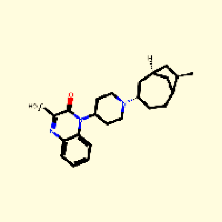 C[C@@H]1C[C@H]2CC1CC[C@H](N1CCC(n3c(=O)c(C(=O)O)nc4ccccc43)CC1)C2